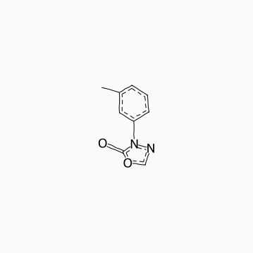 Cc1cccc(-n2ncoc2=O)c1